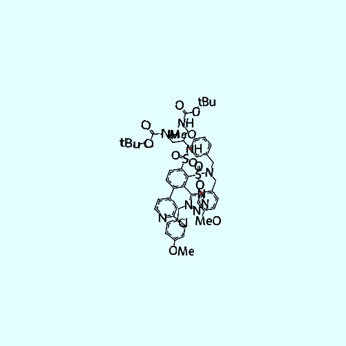 COc1ccc(CN(Cc2ccc(OC)cc2)S(=O)(=O)c2c(S(=O)(=O)NC(CNC(=O)OC(C)(C)C)CNC(=O)OC(C)(C)C)ccc(-c3ccnc(Cl)c3)c2-c2nnnn2Cc2ccc(OC)cc2)cc1